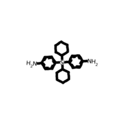 Nc1ccc([Si](c2ccc(N)cc2)(C2CCCCC2)C2CCCCC2)cc1